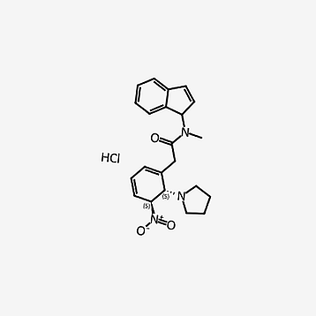 CN(C(=O)CC1=CC=C[C@H]([N+](=O)[O-])[C@H]1N1CCCC1)C1C=Cc2ccccc21.Cl